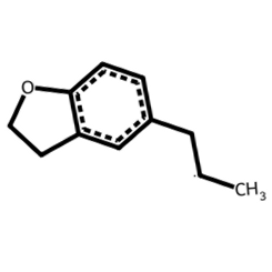 C[CH]Cc1ccc2c(c1)CCO2